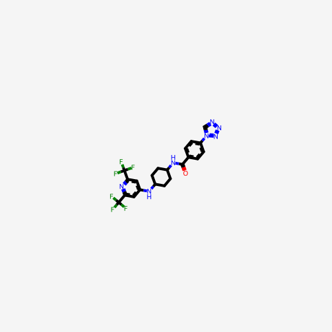 O=C(NC1CCC(Nc2cc(C(F)(F)F)nc(C(F)(F)F)c2)CC1)c1ccc(-n2cnnn2)cc1